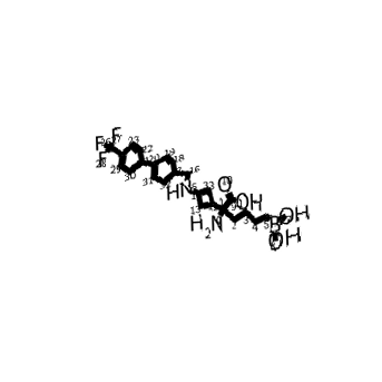 NC(CCCCB(O)O)(C(=O)O)C1CC(NCc2ccc(-c3ccc(C(F)(F)F)cc3)cc2)C1